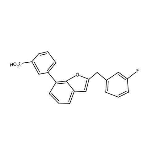 O=C(O)c1cccc(-c2cccc3cc(Cc4cccc(F)c4)oc23)c1